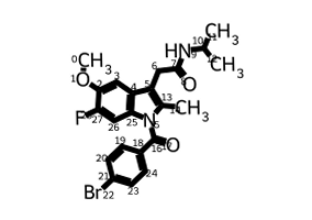 COc1cc2c(CC(=O)NC(C)C)c(C)n(C(=O)c3ccc(Br)cc3)c2cc1F